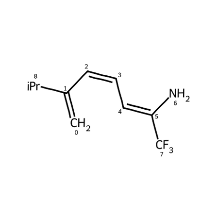 C=C(/C=C\C=C(/N)C(F)(F)F)C(C)C